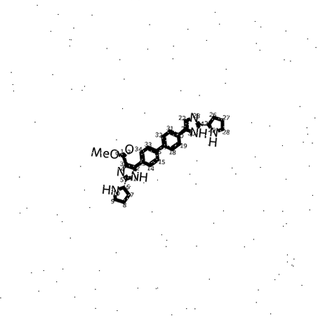 COC(=O)c1nc([C@@H]2CCCN2)[nH]c1-c1ccc(-c2ccc(-c3cnc([C@@H]4CCCN4)[nH]3)cc2)cc1